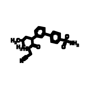 CC(C)CC(C(=O)NCC#N)c1cccc(-c2ccc(S(N)(=O)=O)cc2)c1